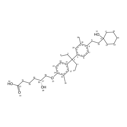 CCC(CC)(c1ccc(CCC2(O)CCCCC2)c(C)c1)c1ccc(OC[C@H](O)CCCC(=O)O)c(C)c1